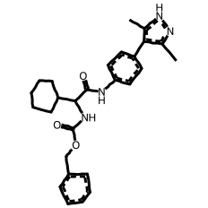 Cc1n[nH]c(C)c1-c1ccc(NC(=O)C(NC(=O)OCc2ccccc2)C2CCCCC2)cc1